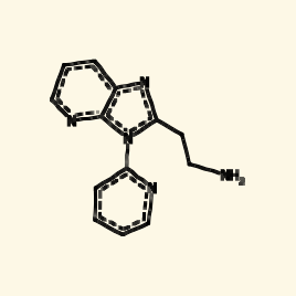 NCCc1nc2cccnc2n1-c1ccccn1